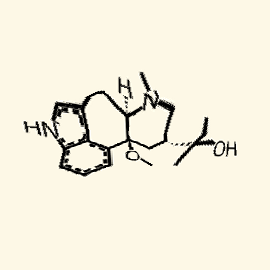 CO[C@]12C[C@@H](C(C)(C)O)CN(C)[C@@H]1Cc1c[nH]c3cccc2c13